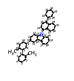 Cc1ccccc1-c1cc(-c2ccc3c(c2)c2ccccc2n3-c2ccc(-c3ccccc3)c3ccccc23)ccc1C